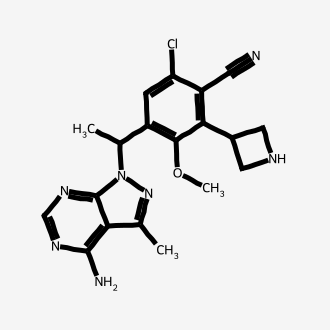 COc1c(C(C)n2nc(C)c3c(N)ncnc32)cc(Cl)c(C#N)c1C1CNC1